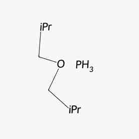 CC(C)COCC(C)C.P